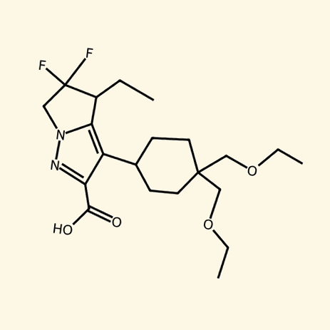 CCOCC1(COCC)CCC(c2c(C(=O)O)nn3c2C(CC)C(F)(F)C3)CC1